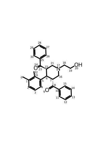 Cc1cccc(C2[C@@H](C(=O)c3ccccc3)CN(CCO)C[C@@H]2C(=O)c2ccccc2)c1C